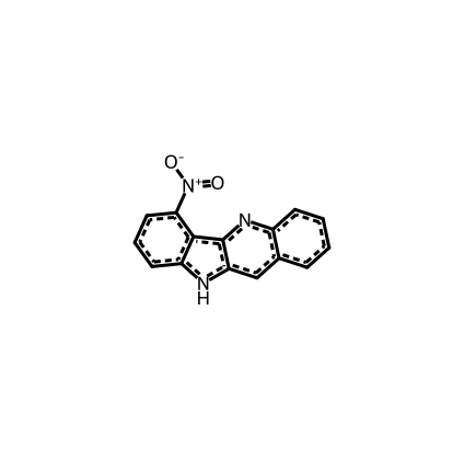 O=[N+]([O-])c1cccc2[nH]c3cc4ccccc4nc3c12